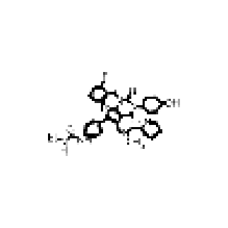 CCNC(=O)Nc1ccc(-c2sc3c(c2CN(C)Cc2ccccn2)c(=O)n(C2CCC(O)CC2)c(=O)n3Cc2c(F)cccc2F)cc1